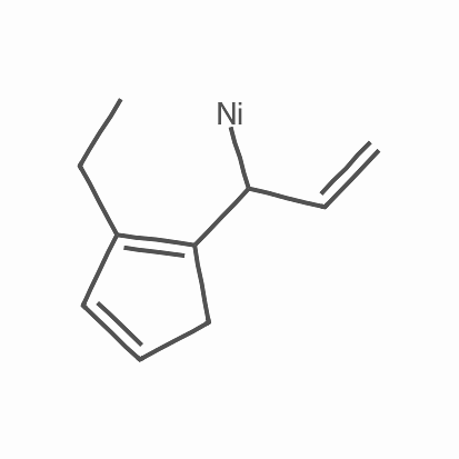 C=C[CH]([Ni])C1=C(CC)C=CC1